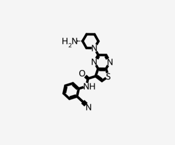 N#Cc1ccccc1NC(=O)c1csc2ncc(N3CCC[C@@H](N)C3)nc12